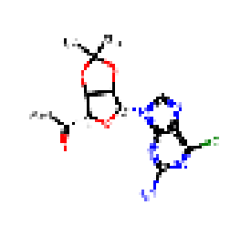 CNC(=O)[C@H]1O[C@@H](n2cnc3c(Cl)nc(N)nc32)C2OC(C)(C)OC21